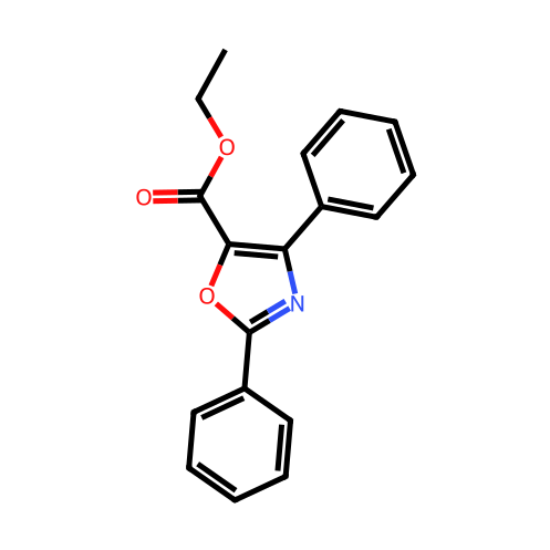 CCOC(=O)c1oc(-c2ccccc2)nc1-c1ccccc1